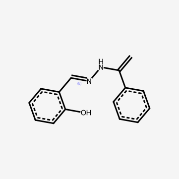 C=C(N/N=C/c1ccccc1O)c1ccccc1